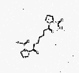 O=C(O)[C@H]1CCCN1C(=O)CCCCCC(=O)N1CCC[C@@H]1C(=O)O